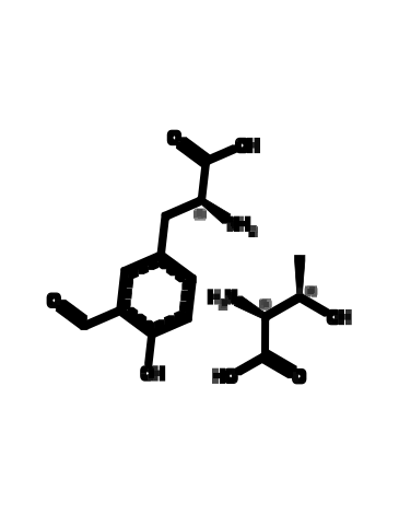 C[C@@H](O)[C@H](N)C(=O)O.N[C@@H](Cc1ccc(O)c(C=O)c1)C(=O)O